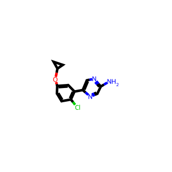 Nc1cnc(-c2cc(OC3CC3)ccc2Cl)cn1